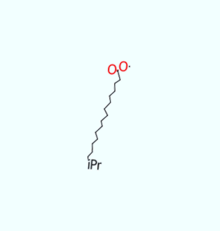 CC(C)CCCCCCCCCCCCCCC([O])=O